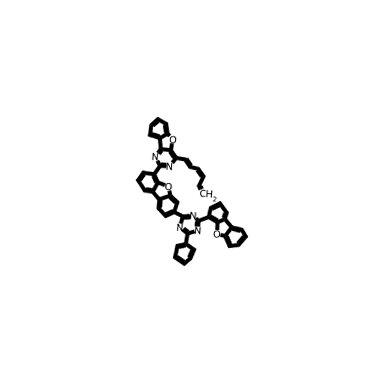 C=C/C=C\C=C\c1nc(-c2cccc3c2oc2cc(-c4nc(-c5ccccc5)nc(-c5cccc6c5oc5ccccc56)n4)ccc23)nc2c1oc1ccccc12